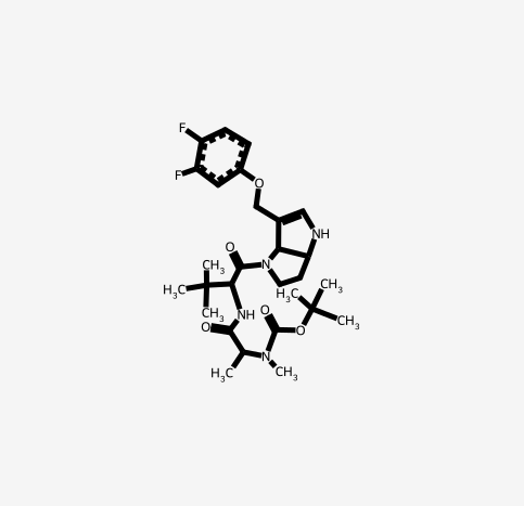 CC(C(=O)NC(C(=O)N1CCC2NC=C(COc3ccc(F)c(F)c3)C21)C(C)(C)C)N(C)C(=O)OC(C)(C)C